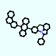 c1ccc(-c2cc3cccc4c3n2-c2ccc(-c3c5ccccc5c(-c5ccc6ccc7ccccc7c6c5)c5ccccc35)cc2C4)cc1